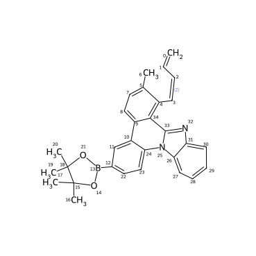 C=C/C=C\c1c(C)ccc2c3cc(B4OC(C)(C)C(C)(C)O4)ccc3n3c4ccccc4nc3c12